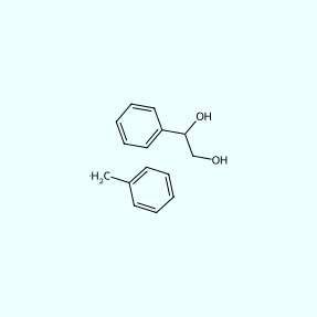 OCC(O)c1ccccc1.[CH2]c1ccccc1